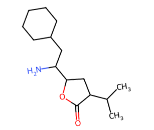 CC(C)C1CC(C(N)CC2CCCCC2)OC1=O